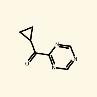 O=C(c1n[c]ncn1)C1CC1